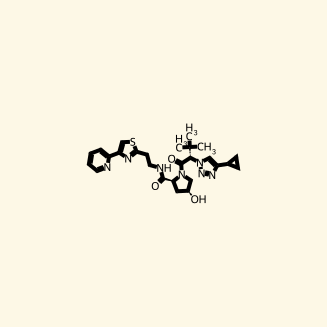 CC(C)(C)[C@@H](C(=O)N1C[C@H](O)C[C@H]1C(=O)NCCc1nc(-c2ccccn2)cs1)n1cc(C2CC2)nn1